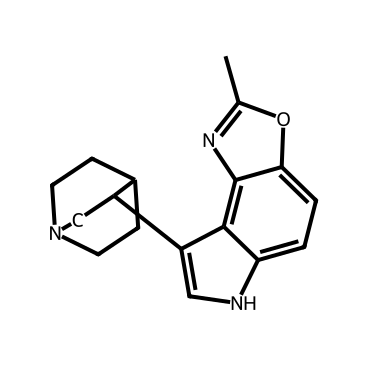 Cc1nc2c(ccc3[nH]cc(C4CN5CCC4CC5)c32)o1